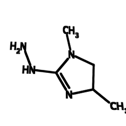 CC1CN(C)C(NN)=N1